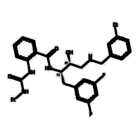 CCNC(=O)Nc1ccccc1C(=O)N[C@@H](Cc1cc(F)cc(F)c1)[C@H](O)CNCc1cccc(CC)c1